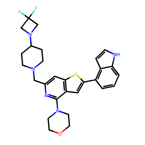 FC1(F)CN(C2CCN(Cc3cc4sc(-c5cccc6[nH]ccc56)cc4c(N4CCOCC4)n3)CC2)C1